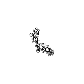 O=C(c1cscn1)N1CCN(C2CN(C(=O)c3sc4cc(C(F)(F)F)ccc4c3Cl)C2)CC1